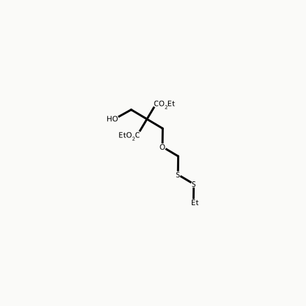 CCOC(=O)C(CO)(COCSSCC)C(=O)OCC